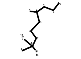 CCCC(C)CCCC(C)(F)F